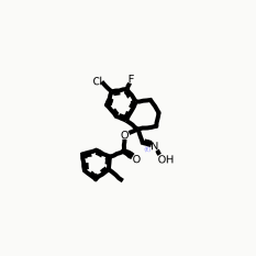 Cc1ccccc1C(=O)OC1(/C=N/O)CCCc2c1ccc(Cl)c2F